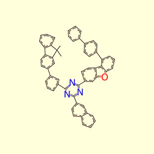 CC1(C)c2ccccc2-c2ccc(-c3cccc(-c4nc(-c5ccc6ccccc6c5)nc(-c5ccc6c(c5)oc5cccc(-c7ccc(-c8ccccc8)cc7)c56)n4)c3)cc21